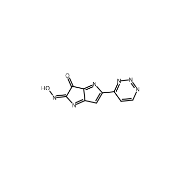 O=c1c2nc(-c3ccnnn3)cc-2nc1=NO